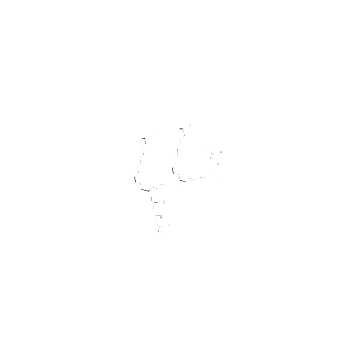 CCCCC/C=C\C/C=C\CCCCCCCC(=O)O.CCCCC/C=C\C/C=C\CCCCCCCC(=O)O.OCC(O)CO.OCC(O)CO.OCC(O)CO